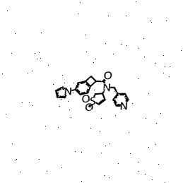 O=C(C1Cc2cc(-n3cccc3)ccc21)N(Cc1ccncc1)C1C=CS(=O)(=O)C1